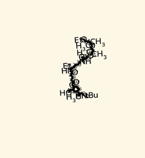 CCOCCC(C)(C)OCCC(C)(C)OCCC(=O)NCCCCC(CC)NC(=O)CCCC(=O)Oc1ccc(C(C)CNC(C)(C)C)cc1CO